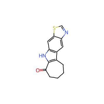 O=C1CCCCc2c1[nH]c1cc3scnc3cc21